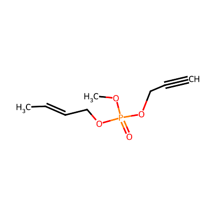 C#CCOP(=O)(OC)OCC=CC